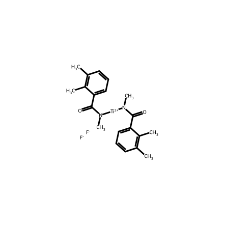 Cc1cccc(C(=O)[N](C)[Ti+2][N](C)C(=O)c2cccc(C)c2C)c1C.[F-].[F-]